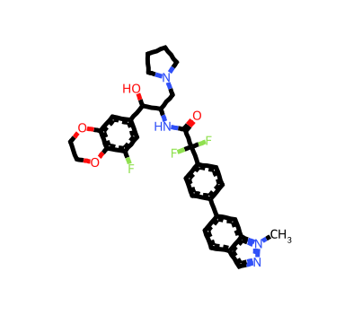 Cn1ncc2ccc(-c3ccc(C(F)(F)C(=O)NC(CN4CCCC4)C(O)c4cc(F)c5c(c4)OCCO5)cc3)cc21